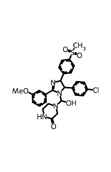 COc1cccc(C2=NC(c3ccc(S(C)(=O)=O)cc3)C(c3ccc(Cl)cc3)N2C(O)N2CCNC(=O)C2)c1